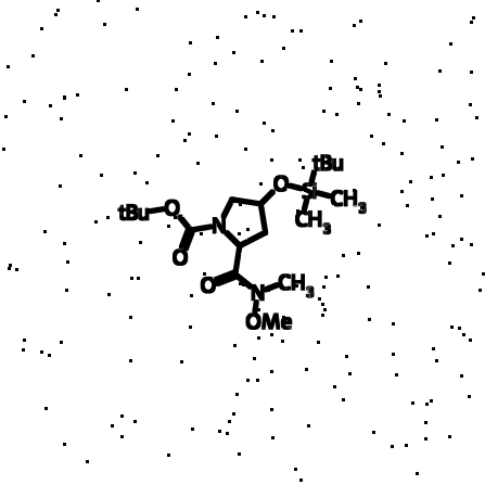 CON(C)C(=O)C1CC(O[Si](C)(C)C(C)(C)C)CN1C(=O)OC(C)(C)C